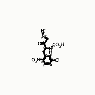 [N-]=[N+]=CC(=O)C(Cc1cc(Cl)ccc1[N+](=O)[O-])NC(=O)O